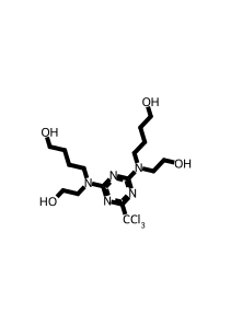 OCCCCN(CCO)c1nc(N(CCO)CCCCO)nc(C(Cl)(Cl)Cl)n1